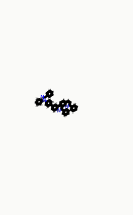 c1ccc(-c2ccc3ccc4c5cc(-c6ccc(-n7c(-c8ccccc8)nc8ccccc87)cc6)ccc5nc(-c5ccccc5)c4c3n2)cc1